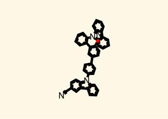 N#Cc1ccc2c(c1)c1ccccc1n2-c1ccc(-c2ccc(C#N)c(-c3ccccc3-n3c4ccccc4c4ccccc43)c2)cc1